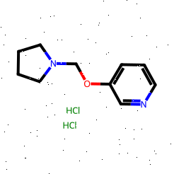 Cl.Cl.c1cncc(OCN2CCCC2)c1